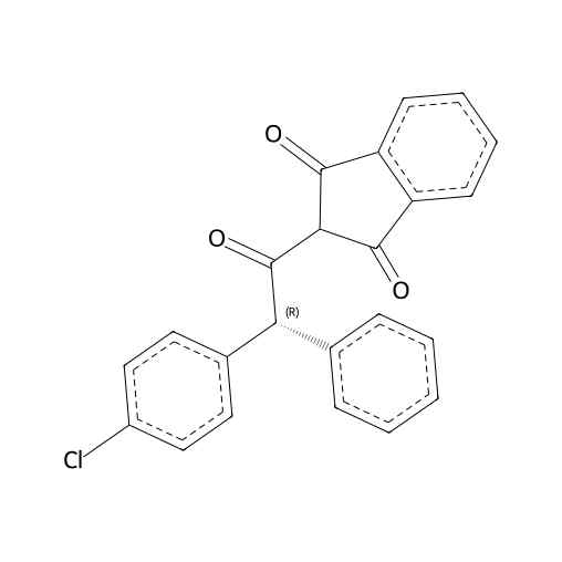 O=C1c2ccccc2C(=O)C1C(=O)[C@H](c1ccccc1)c1ccc(Cl)cc1